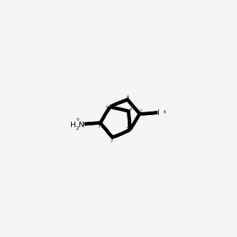 NC1CC2CC1CC2I